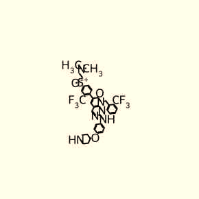 CN(C)CC[S+]([O-])c1ccc(-c2cc3cnc(Nc4ccc(OC5CCNCC5)cc4)nc3n(Cc3ccccc3C(F)(F)F)c2=O)c(C(F)(F)F)c1